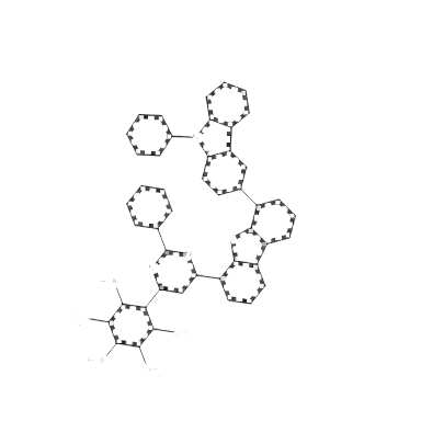 Bc1c(B)c(B)c(-c2cc(-c3cccc4c3sc3c(-c5ccc6c(c5)c5ccccc5n6-c5ccccc5)cccc34)nc(-c3ccccc3)n2)c(B)c1B